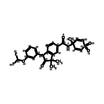 CC1(NC(=O)c2cnc3c(c2)C(C)(C)C(=O)N3c2cccc(OC(F)F)c2)C=CS(=O)(=O)N=C1